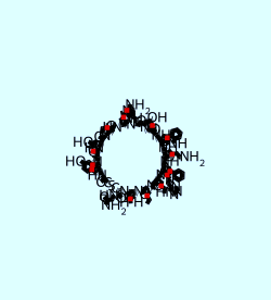 CCCC[C@H]1C(=O)N(C)[C@@H](CCCC)C(=O)N[C@@H](CC(C)C)C(=O)N[C@H](C(=O)NCC(N)=O)CSCC(=O)N[C@@H](Cc2ccc(O)cc2)C(=O)N(C)[C@@H](C)C(=O)N[C@@H](CC(=O)O)C(=O)N2CCC[C@H]2C(=O)N[C@@H](Cc2cnc[nH]2)C(=O)N[C@@H](CCCCN)C(=O)N2C[C@H](O)C[C@H]2C(=O)N[C@@H](Cc2c[nH]c3ccccc23)C(=O)N[C@@H](CCCCN)C(=O)N[C@@H](Cc2cn(Cc3nnn[nH]3)c3ccccc23)C(=O)N1C